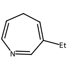 CCC1=CCC=CN=C1